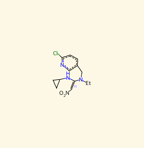 CCN(Cc1ccc(Cl)nc1)/C(=C/[N+](=O)[O-])NC1CC1